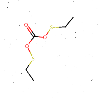 CCSOC(=O)OSCC